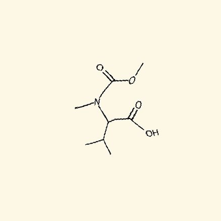 COC(=O)N(C)C(C(=O)O)C(C)C